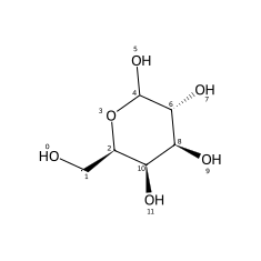 O[CH][C@H]1OC(O)[C@H](O)[C@@H](O)[C@H]1O